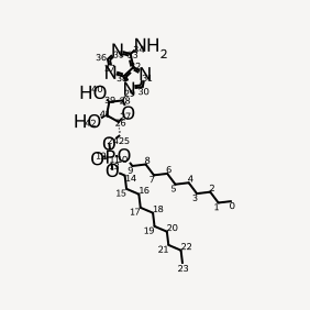 CCCCCCCCCCOP(=O)(OCCCCCCCCCC)OC[C@H]1O[C@@H](n2cnc3c(N)ncnc32)[C@H](O)[C@@H]1O